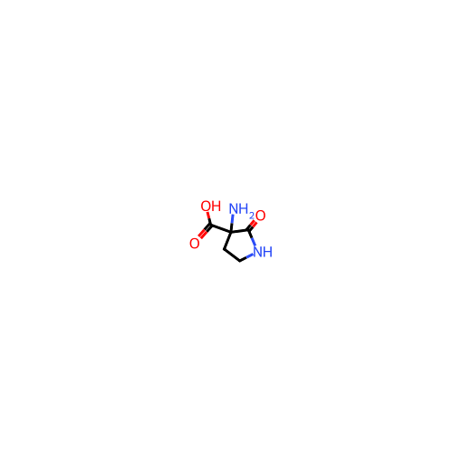 NC1(C(=O)O)CCNC1=O